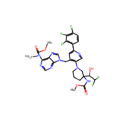 CC(C)(C)OC(=O)NC1(C(O)C(F)F)CCCN(c2cnc(-c3ccc(F)c(F)c3F)cc2Cn2cnc3c(N(C(=O)O)C(=O)OC(C)(C)C)ncnc32)C1